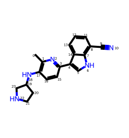 Cc1nc(-c2c[nH]c3c(C#N)cccc23)ccc1NC1CCNC1